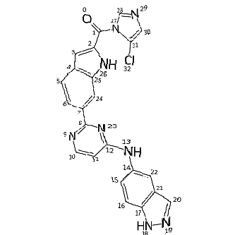 O=C(c1cc2ccc(-c3nccc(Nc4ccc5[nH]ncc5c4)n3)cc2[nH]1)n1cncc1Cl